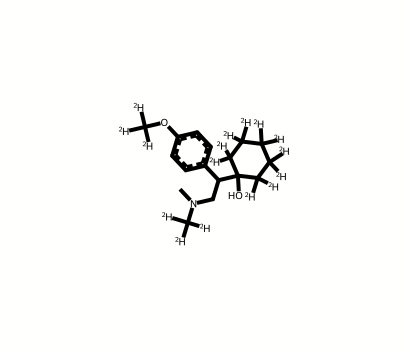 [2H]C([2H])([2H])Oc1ccc(C(CN(C)C([2H])([2H])[2H])C2(O)C([2H])([2H])C([2H])([2H])C([2H])([2H])C([2H])([2H])C2([2H])[2H])cc1